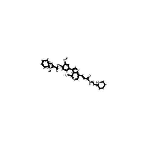 COc1cc(-c2csc3c(C=CC(=O)NCCC4CCCCN4)cnc(N)c23)ccc1NC(=O)c1cc2ccccc2n1C